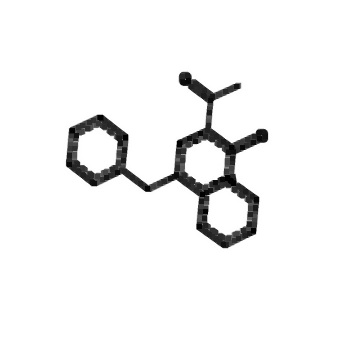 CC(=O)c1cc(Cc2ccccc2)c2ccccn2c1=O